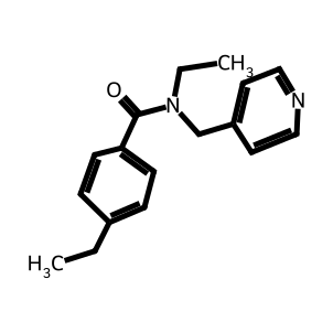 CCc1ccc(C(=O)N(CC)Cc2ccncc2)cc1